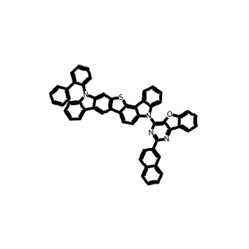 c1ccc(-c2ccccc2-n2c3ccccc3c3cc4c(cc32)sc2c4ccc3c2c2ccccc2n3-c2nc(-c3ccc4ccccc4c3)nc3c2oc2ccccc23)cc1